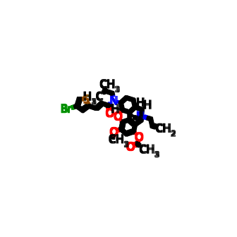 C=CCN1CC[C@]23c4c5c(OC(C)=O)cc(OC)c4O[C@H]2[C@@H](N(CC(C)C)C(=O)/C=C/c2cc(Br)cs2)CC[C@H]3[C@H]1C5